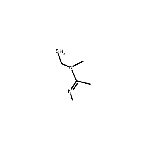 C/N=C(\C)N(C)C[SiH3]